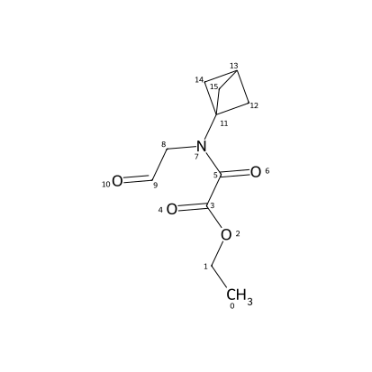 CCOC(=O)C(=O)N(CC=O)C12CC(C1)C2